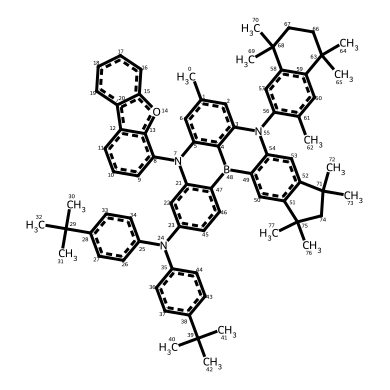 Cc1cc2c3c(c1)N(c1cccc4c1oc1ccccc14)c1cc(N(c4ccc(C(C)(C)C)cc4)c4ccc(C(C)(C)C)cc4)ccc1B3c1cc3c(cc1N2c1cc2c(cc1C)C(C)(C)CCC2(C)C)C(C)(C)CC3(C)C